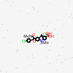 CNC(=O)c1c(-c2ccc(Cl)cc2)oc2cc(N(SC)c3ccc(B(O)O)c(Cl)c3)c(C3CC3)cc12